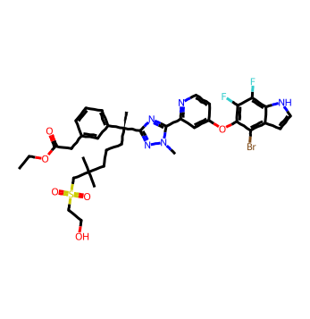 CCOC(=O)Cc1cccc([C@@](C)(CCCC(C)(C)CS(=O)(=O)CCO)c2nc(-c3cc(Oc4c(F)c(F)c5[nH]ccc5c4Br)ccn3)n(C)n2)c1